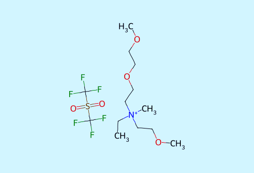 CC[N+](C)(CCOC)CCOCCOC.O=S(=O)(C(F)(F)F)C(F)(F)F